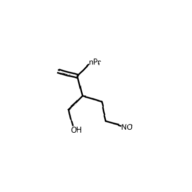 C=C(CCC)C(CO)CCN=O